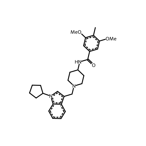 COc1cc(C(=O)NC2CCN(Cc3cn(C4CCCC4)c4ccccc34)CC2)cc(OC)c1C